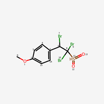 COc1ccc(C(Br)C(Br)(Br)[SH](=O)=O)cc1